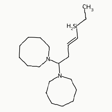 CC[SiH2]C=CCC(N1CCCCCCC1)N1CCCCCCC1